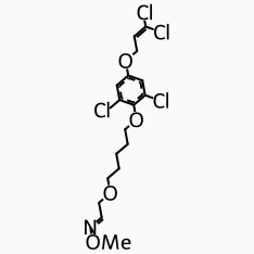 CON=CCOCCCCCOc1c(Cl)cc(OCC=C(Cl)Cl)cc1Cl